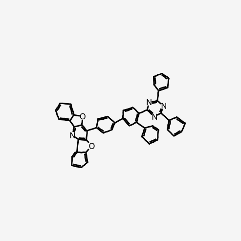 c1ccc(-c2nc(-c3ccccc3)nc(-c3ccc(-c4ccc(-c5c6oc7ccccc7c6nc6c5oc5ccccc56)cc4)cc3-c3ccccc3)n2)cc1